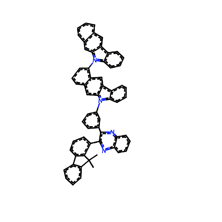 CC1(C)c2ccccc2-c2cccc(-c3nc4ccccc4nc3-c3cccc(-n4c5ccccc5c5cc6c(-n7c8ccccc8c8cc9ccccc9cc87)cccc6cc54)c3)c21